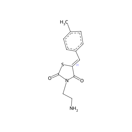 Cc1ccc(/C=C2\SC(=O)N(CCN)C2=O)cc1